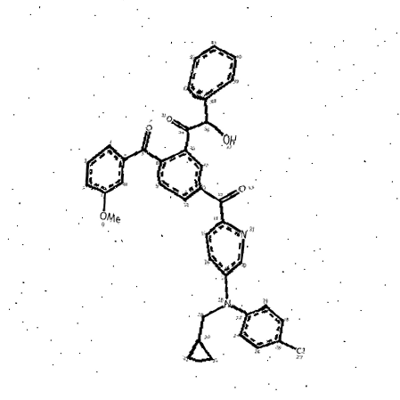 COc1cccc(C(=O)c2ccc(C(=O)c3ccc(N(CC4CC4)c4ccc(Cl)cc4)cn3)cc2C(=O)C(O)c2ccccc2)c1